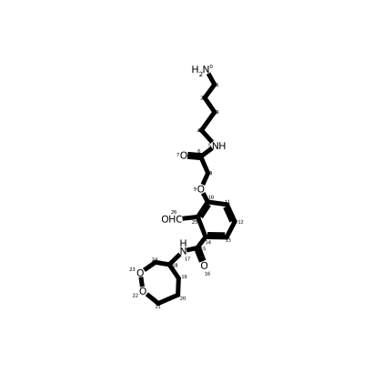 NCCCCNC(=O)COc1cccc(C(=O)NC2CCCOOC2)c1C=O